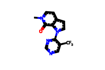 Cn1ccc2ccn(-c3ncncc3C(F)(F)F)c2c1=O